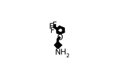 NC12CC(COc3cccc(C(F)(F)F)c3)(C1)C2